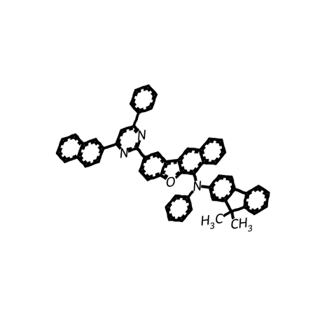 CC1(C)c2ccccc2-c2ccc(N(c3ccccc3)c3c4ccccc4cc4c3oc3ccc(-c5nc(-c6ccccc6)cc(-c6ccc7ccccc7c6)n5)cc34)cc21